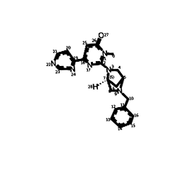 Cn1c(N2CC3C[C@H]2CN3Cc2ccccc2)nc(-c2ccncn2)cc1=O